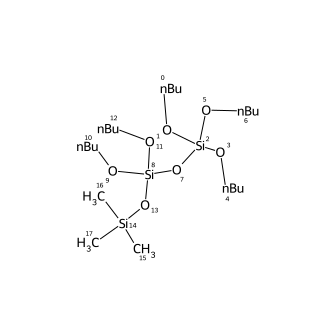 CCCCO[Si](OCCCC)(OCCCC)O[Si](OCCCC)(OCCCC)O[Si](C)(C)C